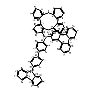 c1ccc2c(c1)Cc1ccccc1-c1cccc(N(c3ccc(-c4ccc(-n5c6ccccc6c6ccccc65)cc4)cc3)c3ccc4c5ccccc5c5ccccc5c4c3)c1Cc1ccccc1-2